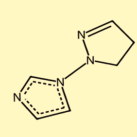 C1=NN(n2ccnc2)CC1